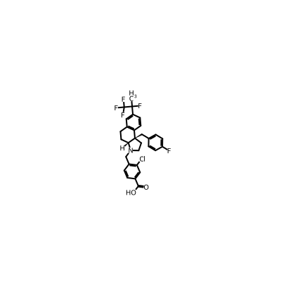 CC(F)(c1ccc2c(c1)CC[C@H]1N(Cc3ccc(C(=O)O)cc3Cl)CC[C@@]21Cc1ccc(F)cc1)C(F)(F)F